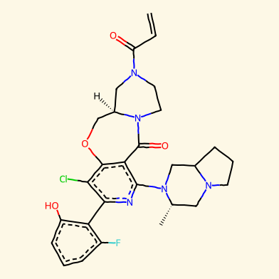 C=CC(=O)N1CCN2C(=O)c3c(N4CC5CCCN5C[C@@H]4C)nc(-c4c(O)cccc4F)c(Cl)c3OC[C@H]2C1